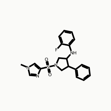 Cn1cnc(S(=O)(=O)N2CC(Nc3ccccc3F)C(c3ccccc3)C2)c1